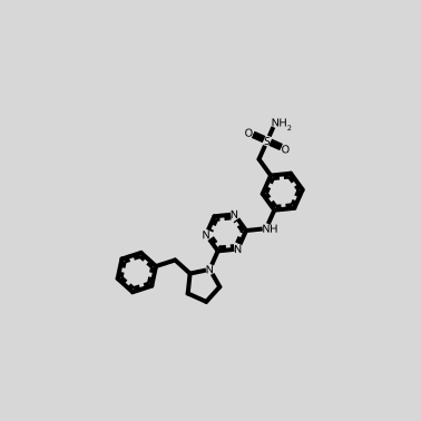 NS(=O)(=O)Cc1cccc(Nc2ncnc(N3CCCC3Cc3ccccc3)n2)c1